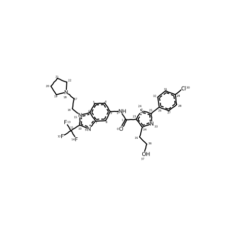 O=C(Nc1ccc2c(c1)nc(C(F)(F)F)n2CCN1CCCC1)c1sc(-c2ccc(Cl)cc2)nc1CCO